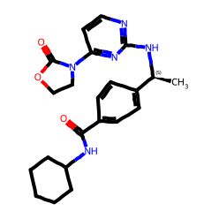 C[C@H](Nc1nccc(N2CCOC2=O)n1)c1ccc(C(=O)NC2CCCCC2)cc1